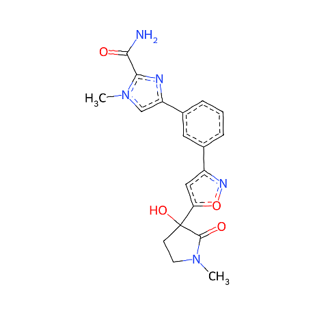 CN1CCC(O)(c2cc(-c3cccc(-c4cn(C)c(C(N)=O)n4)c3)no2)C1=O